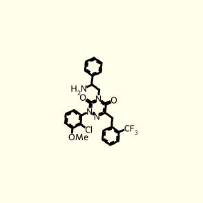 COc1cccc(-n2nc(Cc3ccccc3C(F)(F)F)c(=O)n(CC(N)c3ccccc3)c2=O)c1Cl